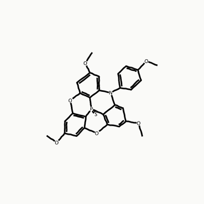 COc1ccc(N2c3cc(OC)cc4c3P3(=S)c5c(cc(OC)cc5Oc5cc(OC)cc2c53)O4)cc1